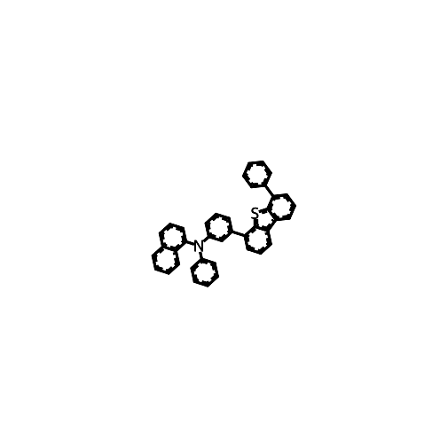 c1ccc(-c2cccc3c2sc2c(-c4cccc(N(c5ccccc5)c5cccc6ccccc56)c4)cccc23)cc1